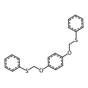 c1ccc(SCOc2ccc(OCSc3ccccc3)cc2)cc1